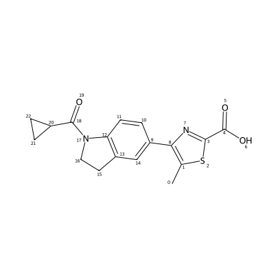 Cc1sc(C(=O)O)nc1-c1ccc2c(c1)CCN2C(=O)C1CC1